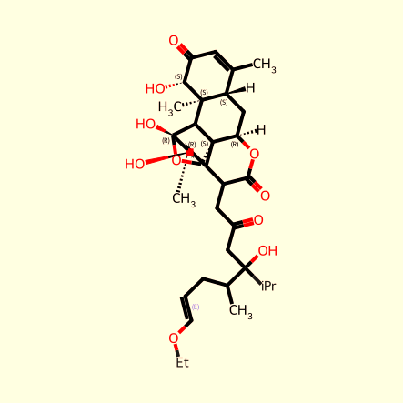 CCO/C=C/CC(C)C(O)(CC(=O)CC1C(=O)O[C@@H]2C[C@H]3C(C)=CC(=O)[C@@H](O)[C@]3(C)C3[C@@]24CO[C@@]3(O)[C@H](O)[C@H](C)C14)C(C)C